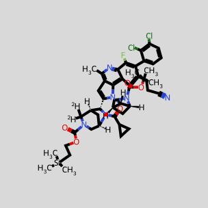 [2H]C1([2H])[C@@H]2C[C@H](CN1C(=O)OCC[Si](C)(C)C)N(C(=O)C1CC1)[C@H]2c1cc2c(C)nc3c(F)c(-c4cccc(Cl)c4Cl)c(CCC#N)cc3c2n1[C@H]1[C@@H]2C[C@H]1N(C(=O)OC(C)(C)C)C2